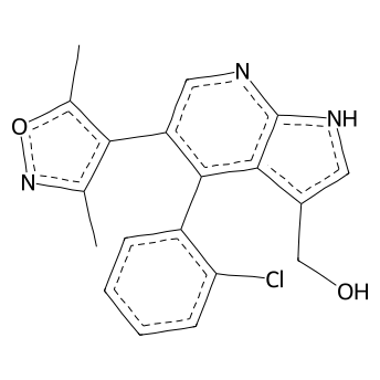 Cc1noc(C)c1-c1cnc2[nH]cc(CO)c2c1-c1ccccc1Cl